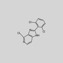 Clc1cccc(Cl)c1-c1nc2c(Cl)nccc2[nH]1